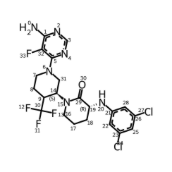 Nc1ncnc(N2CCC(C(F)(F)F)[C@H](N3CCC[C@@H](Nc4cc(Cl)cc(Cl)c4)C3=O)C2)c1F